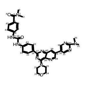 CN(C)C(=O)c1ccc(NC(=O)Nc2ccc(-c3nc(N4CCOCC4)c4ncc(-c5cnc(N(C)C)nc5)cc4n3)cc2)cc1